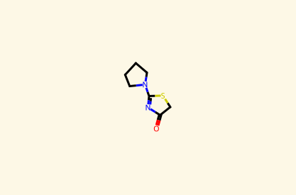 O=C1CSC(N2CCCC2)=N1